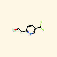 O=CCc1ccc(C(F)F)cn1